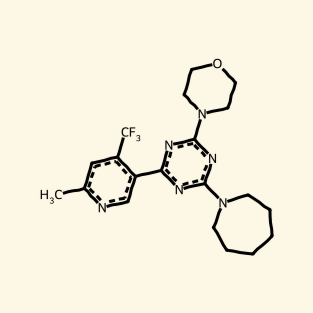 Cc1cc(C(F)(F)F)c(-c2nc(N3CCCCCC3)nc(N3CCOCC3)n2)cn1